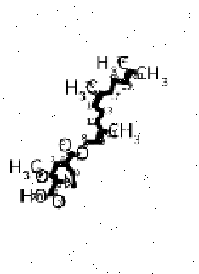 COc1cc(C(=O)OCC=C(C)CCC=C(C)CCC=C(C)C)cnc1C(=O)O